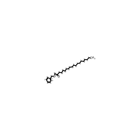 CCCCCCCCCCCCCCCCCCC(=O)COCc1ccccc1